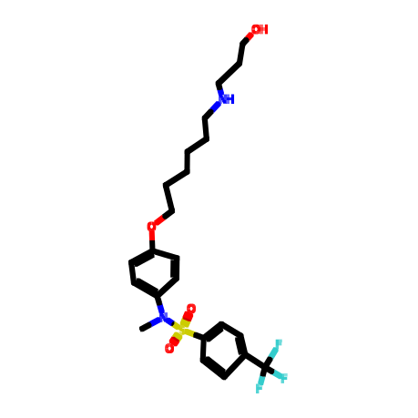 CN(c1ccc(OCCCCCCNCCCO)cc1)S(=O)(=O)c1ccc(C(F)(F)F)cc1